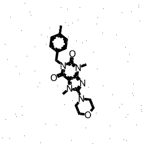 Cc1ccc(Cn2c(=O)c3c(nc(N4CCOCC4)n3C)n(C)c2=O)cc1